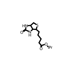 CC(C)OC(=O)CCCCC1SCC2NC(=O)NC21